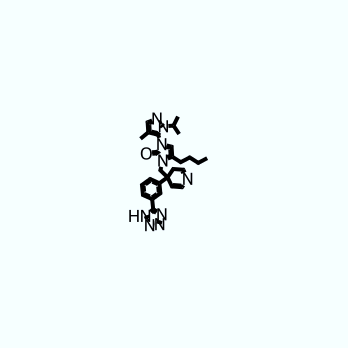 CCCCc1cn(-c2c(C)cnn2C(C)C)c(=O)n1CC1(c2cccc(-c3nnn[nH]3)c2)C=CN=CC1